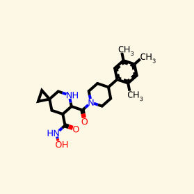 Cc1cc(C)c(C2CCN(C(=O)C3NCC4(CC4)CC3C(=O)NO)CC2)cc1C